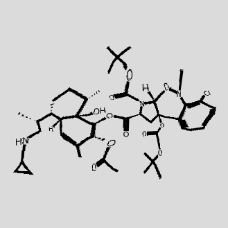 CC(=O)O[C@@H]1C(C)=C[C@@H]2[C@H]([C@@H](C)CNC3CC3)CC[C@H](C)[C@]2(O)[C@H]1OC(=O)[C@@H]1C[C@@]2(OC(=O)OC(C)(C)C)c3cccc(Cl)c3N(C)O[C@H]2N1C(=O)OC(C)(C)C